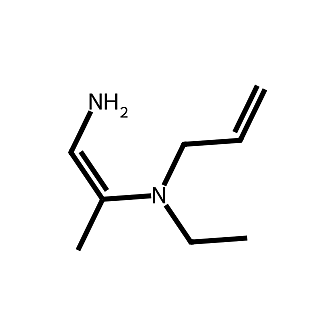 C=CCN(CC)/C(C)=C\N